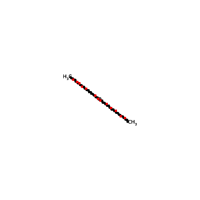 CCCCCCCCCCCCCCCCCCCCCCCCCCOCCCCCCCCCCCCCCCCCCCCCCCCCC